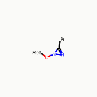 CSON1N=C1C(C)C